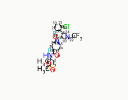 C[C@@H](/C=C\S(C)(=O)=O)NC(=O)[C@@]1(F)CCCN(C(=O)[C@H]2CN(CC(F)(F)F)C[C@H]2c2c(F)cccc2Cl)CC1